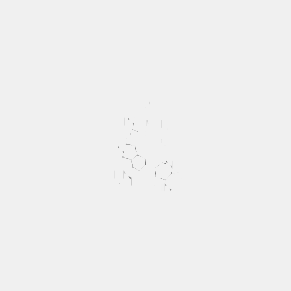 Cc1c(-c2cc(N)c3cnc(OC(=O)NC4COCC4C)cc3c2)cnc2c1NCCO2.Cl